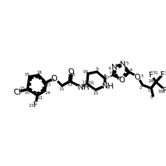 CC(COc1nnc([C@H]2CC[C@H](NC(=O)COc3ccc(Cl)c(F)c3)CN2)o1)C(F)(F)F